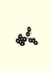 CC1(C)c2ccccc2-c2ccc(N(c3ccc4c(c3)-c3ccccc3C43c4ccccc4-c4ccccc43)c3ccc4c(c3)oc3ccccc34)cc21